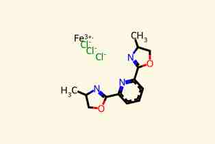 CC1COC(c2cccc(C3=NC(C)CO3)n2)=N1.[Cl-].[Cl-].[Cl-].[Fe+3]